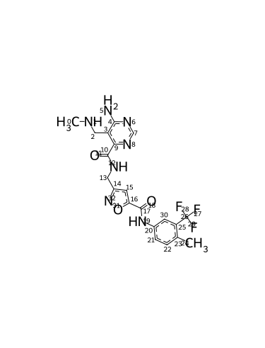 CNCc1c(N)ncnc1C(=O)NCc1cc(C(=O)Nc2ccc(C)c(C(F)(F)F)c2)on1